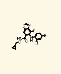 O=C(NOCC1CC1)c1cc2scnc2c(F)c1NC1=CCC(Br)C=C1Cl